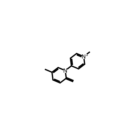 C=C1C=CC(C)=CN1c1cc[n+](C)cc1